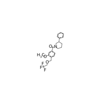 COc1cc(C(=O)N2CCCC(c3ccccc3)C2)ccc1COCC(F)(F)F